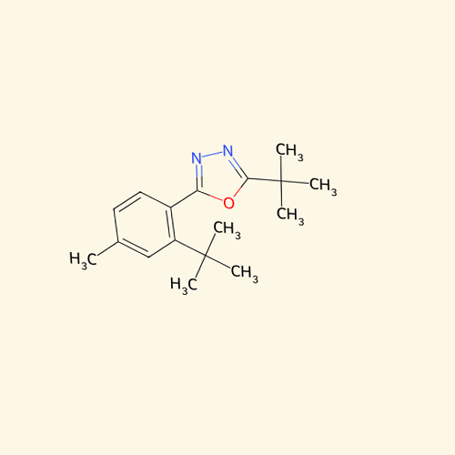 Cc1ccc(-c2nnc(C(C)(C)C)o2)c(C(C)(C)C)c1